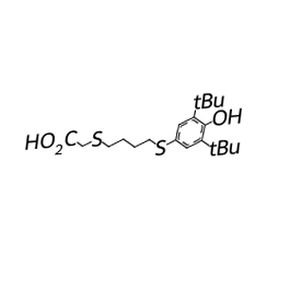 CC(C)(C)c1cc(SCCCCSCC(=O)O)cc(C(C)(C)C)c1O